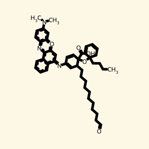 CCCCC1(OC2(C(=O)O)C=CC(N=c3cc4oc5cc(N(C)C)ccc5nc-4c4ccccc34)=CC2CCCCCCCCCCC=O)C=CC=CC1